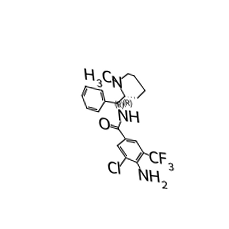 CN1CCCC[C@@H]1[C@H](NC(=O)c1cc(Cl)c(N)c(C(F)(F)F)c1)c1ccccc1